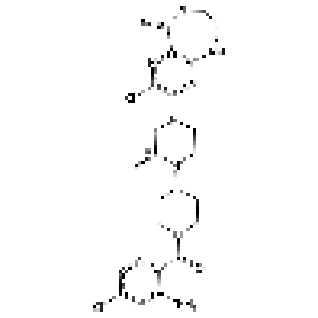 CC[C@H]1CN(c2nc3c(nc2Cl)C(=O)NCCN3)CCN1C1CCN(C(=O)c2ccc(Cl)cc2N)CC1